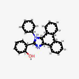 Oc1ccccc1-c1nc2c3ccccc3c3ccccc3c2n1-c1ccccc1